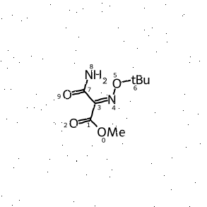 COC(=O)C(=NOC(C)(C)C)C(N)=O